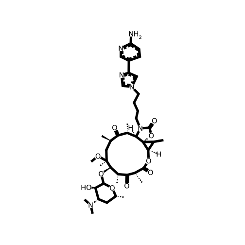 CO[C@@]1(C)C[C@@H](C)C(=O)[C@H](C)[C@H]2N(CCCCn3cnc(-c4ccc(N)nc4)c3)C(=O)O[C@@]23C(C)[C@H]3OC(=O)[C@H](C)C(=O)[C@H](C)[C@H]1OC1O[C@H](C)C[C@H](N(C)C)[C@H]1O